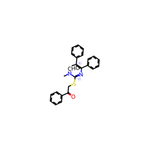 C/C(=C(\N=C(\SCC(=O)c1ccccc1)N(C)C=O)c1ccccc1)c1ccccc1